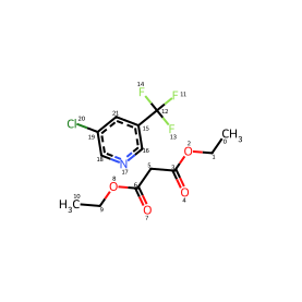 CCOC(=O)CC(=O)OCC.FC(F)(F)c1cncc(Cl)c1